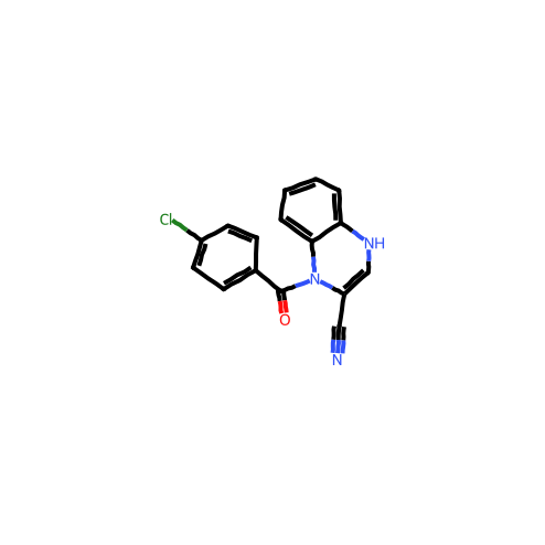 N#CC1=CNc2ccccc2N1C(=O)c1ccc(Cl)cc1